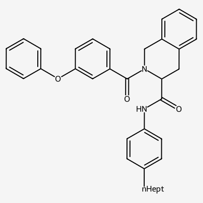 CCCCCCCc1ccc(NC(=O)C2Cc3ccccc3CN2C(=O)c2cccc(Oc3ccccc3)c2)cc1